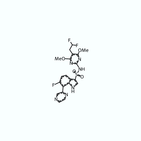 COc1nc(NS(=O)(=O)c2c[nH]c3c(-c4cnccn4)c(F)ccc23)nc(OC)c1CC(F)F